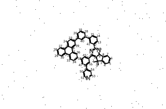 CC1(C)c2ccccc2-c2nc(-c3cccc(-c4cccc(-c5ccc6c7ccccc7c7ccccc7c6c5)c4)c3)nc(-c3cccc(-c4ccncc4)c3)c21